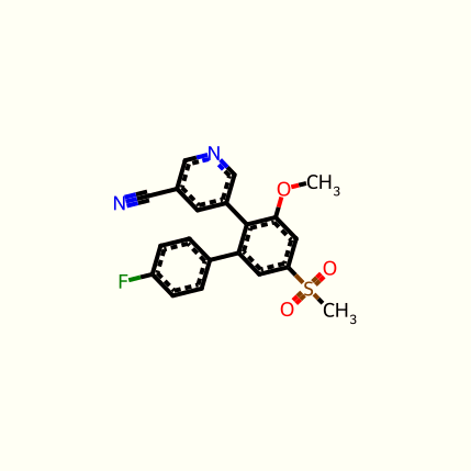 COc1cc(S(C)(=O)=O)cc(-c2ccc(F)cc2)c1-c1cncc(C#N)c1